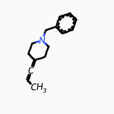 CC=C=C1CCN(Cc2ccccc2)CC1